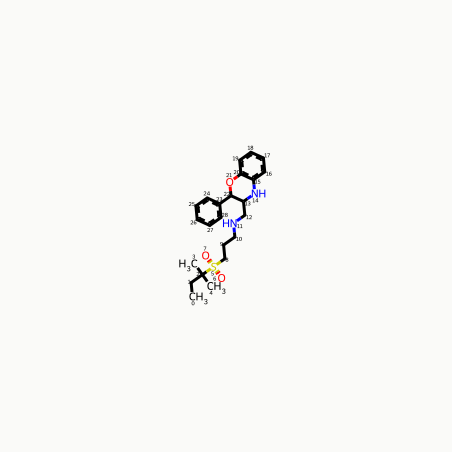 CCC(C)(C)S(=O)(=O)CCCNCC1Nc2ccccc2OC1c1ccccc1